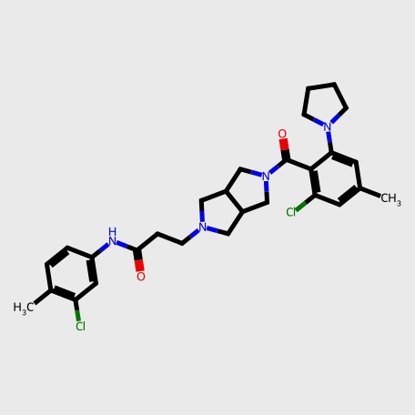 Cc1cc(Cl)c(C(=O)N2CC3CN(CCC(=O)Nc4ccc(C)c(Cl)c4)CC3C2)c(N2CCCC2)c1